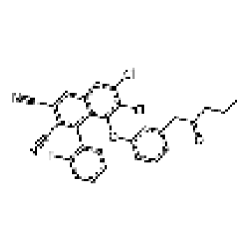 CCCC(=O)Cc1cccc(Oc2c(Cl)c(Cl)cc3cc(C#N)c(C#N)c(-c4ccccc4F)c23)c1